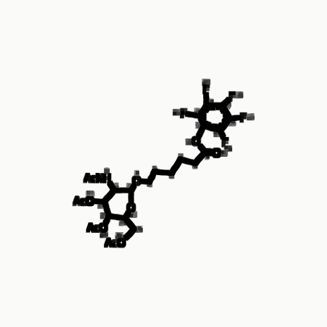 CC(=O)NC1C(OCCCCCC(=O)Oc2c(F)c(F)c(F)c(F)c2F)OC(COC(C)=O)C(OC(C)=O)C1OC(C)=O